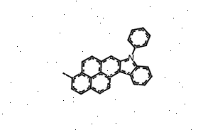 Cc1ccc2ccc3c4c(ccc1c24)cc1c3c2ccccc2n1-c1ccccc1